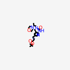 CC(CN1Cc2cc(/C=C/C(=O)OC(C)(C)C)cnc2NC1=O)N1CCOCC1